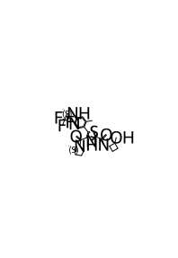 Cc1cc(N[C@@H](C)C(F)(F)F)ncc1-c1sc(C(=O)NC2CCC2O)nc1C(=O)N1CCC[C@@H]1C